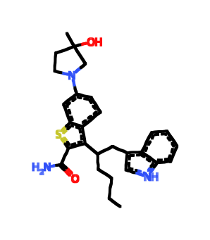 CCCCC(Cc1c[nH]c2ccccc12)c1c(C(N)=O)sc2cc(N3CCC(C)(O)C3)ccc12